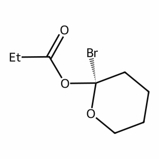 CCC(=O)O[C@@]1(Br)CCCCO1